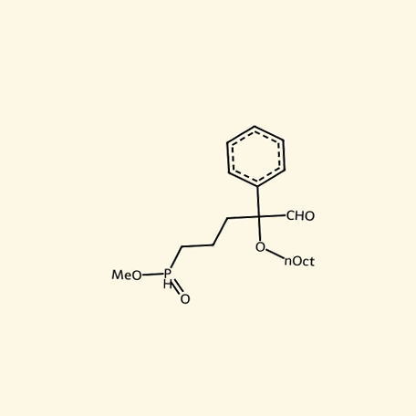 CCCCCCCCOC(C=O)(CCC[PH](=O)OC)c1ccccc1